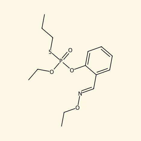 CCCSP(=O)(OCC)Oc1ccccc1C=NOCC